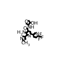 Cn1cc(-c2nc(-c3ccc(C(F)(F)F)nc3)cc(C(=O)N[C@H]3COC[C@@H]3O)c2N)cn1